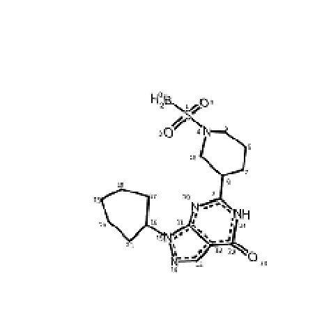 BS(=O)(=O)N1CCCC(c2nc3c(cnn3C3CCCCC3)c(=O)[nH]2)C1